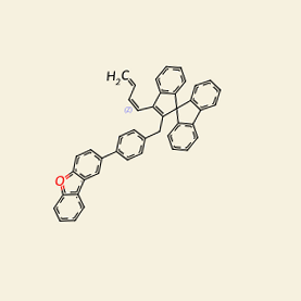 C=C/C=C\C1=C(Cc2ccc(-c3ccc4oc5ccccc5c4c3)cc2)C2(c3ccccc31)c1ccccc1-c1ccccc12